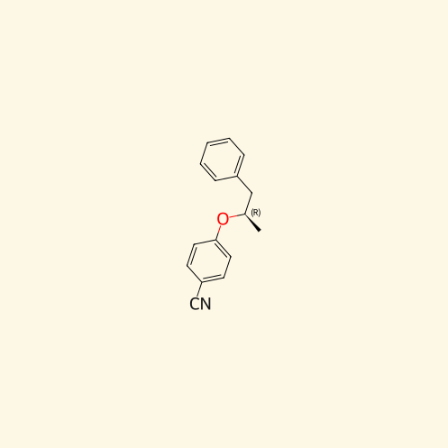 C[C@H](Cc1ccccc1)Oc1ccc(C#N)cc1